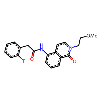 COCCn1ccc2c(NC(=O)Cc3ccccc3F)cccc2c1=O